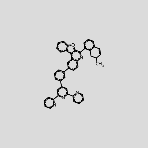 CC1C=Cc2cccc(-c3nc4ccc(-c5cccc(-c6cc(-c7ccccn7)nc(-c7ccccn7)c6)c5)cc4c4c3oc3ccccc34)c2C1